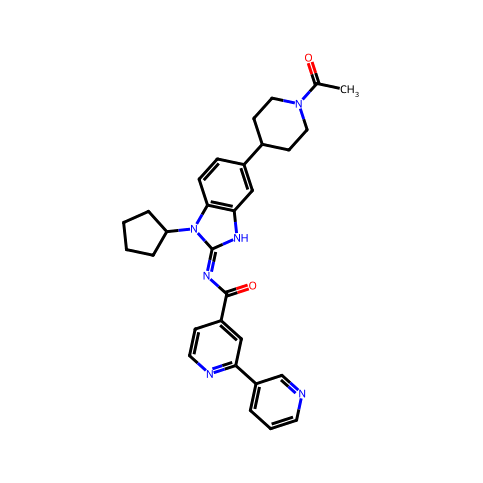 CC(=O)N1CCC(c2ccc3c(c2)[nH]/c(=N\C(=O)c2ccnc(-c4cccnc4)c2)n3C2CCCC2)CC1